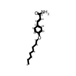 CCCCCCCCOc1ccc(C=CC(N)=O)cc1